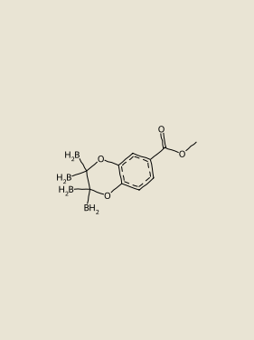 BC1(B)Oc2ccc(C(=O)OC)cc2OC1(B)B